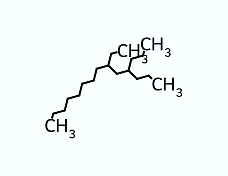 CCCCCCCCC(CC)CC(CCC)CCC